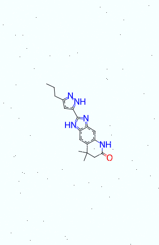 CCCc1cc(-c2nc3cc4c(cc3[nH]2)C(C)(C)CC(=O)N4)[nH]n1